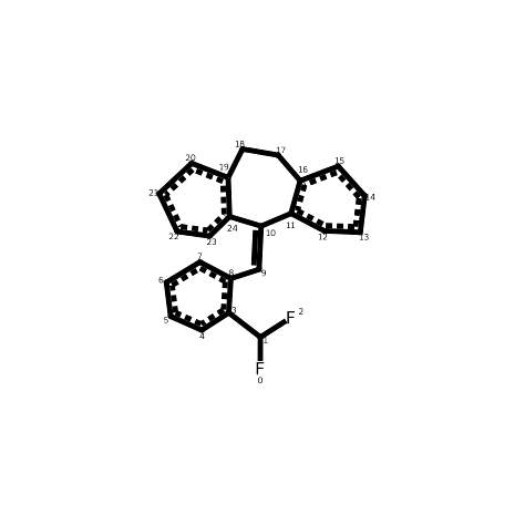 FC(F)c1ccccc1C=C1c2ccccc2CCc2ccccc21